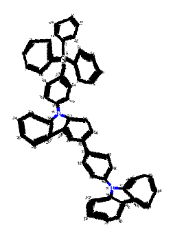 c1ccc([Si](c2ccccc2)(c2ccccc2)c2ccc(-n3c4ccccc4c4cc(-c5ccc(-n6c7ccccc7c7ccccc76)cc5)ccc43)cc2)cc1